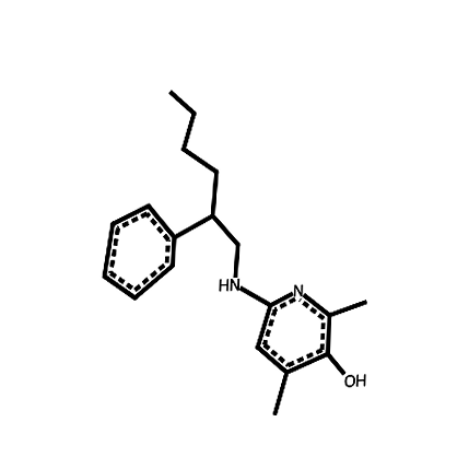 CCCCC(CNc1cc(C)c(O)c(C)n1)c1ccccc1